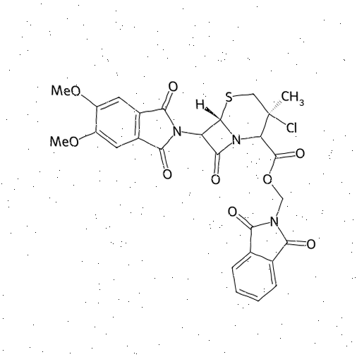 COc1cc2c(cc1OC)C(=O)N(C1C(=O)N3C(C(=O)OCN4C(=O)c5ccccc5C4=O)[C@](C)(Cl)CS[C@@H]13)C2=O